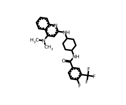 CN(C)c1cc(NC2CCC(NC(=O)c3ccc(F)c(C(F)(F)F)c3)CC2)nc2ccccc12